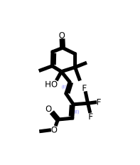 COC(=O)/C=C(\C=C\C1(O)C(C)=CC(=O)CC1(C)C)C(F)(F)F